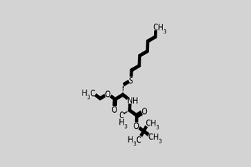 CCCCCCCSC[C@H](N[C@@H](C)C(=O)OC(C)(C)C)C(=O)OCC